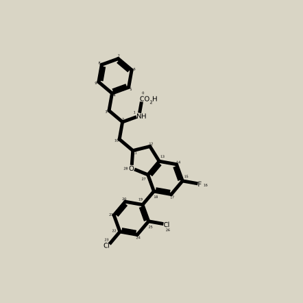 O=C(O)NC(Cc1ccccc1)CC1Cc2cc(F)cc(-c3ccc(Cl)cc3Cl)c2O1